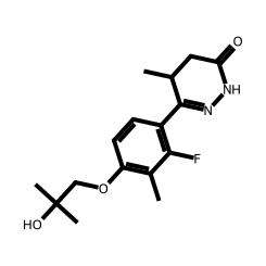 Cc1c(OCC(C)(C)O)ccc(C2=NNC(=O)CC2C)c1F